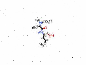 [2H]N(C(=O)O)C(C(=O)N[C@H](CO)CC=C)C(C)(C)C